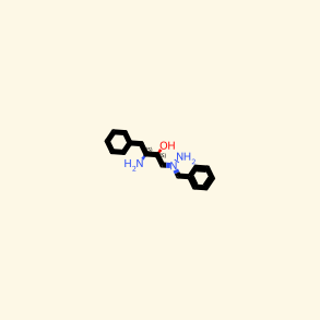 N[C@@H](CC1CCCCC1)[C@@H](O)CN(N)Cc1ccccc1